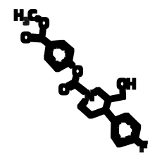 COC(=O)c1ccc(OC(=O)N2CCC(c3ccc(F)cc3)C(CO)C2)cc1